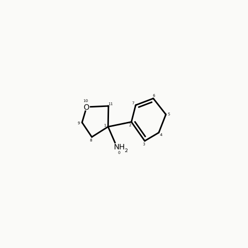 NC1(C2=CCCC=C2)CCOC1